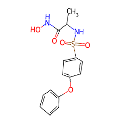 CC(NS(=O)(=O)c1ccc(Oc2ccccc2)cc1)C(=O)NO